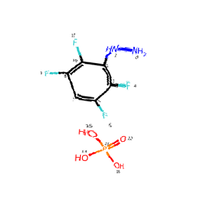 NNc1c(F)c(F)cc(F)c1F.O=P(O)(O)O